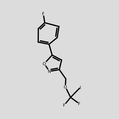 Fc1ccc(-c2cc(COC(F)(F)I)no2)cc1